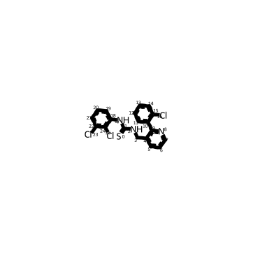 S=C(NCc1cccnc1-c1ccccc1Cl)Nc1cccc(Cl)c1Cl